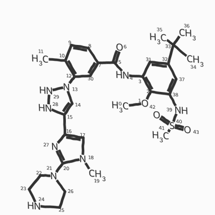 COc1c(NC(=O)c2ccc(C)c(N3C=C(c4cn(C)c(N5CCNCC5)n4)NN3)c2)cc(C(C)(C)C)cc1NS(C)(=O)=O